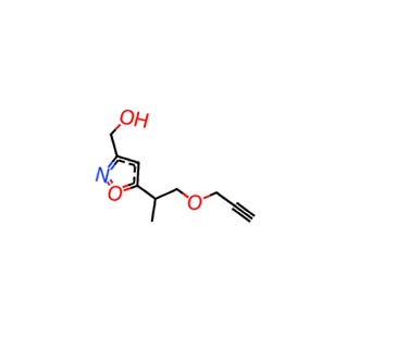 C#CCOCC(C)c1cc(CO)no1